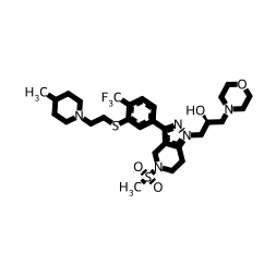 CC1CCN(CCSc2cc(-c3nn(C[C@@H](O)CN4CCOCC4)c4c3CN(S(C)(=O)=O)CC4)ccc2C(F)(F)F)CC1